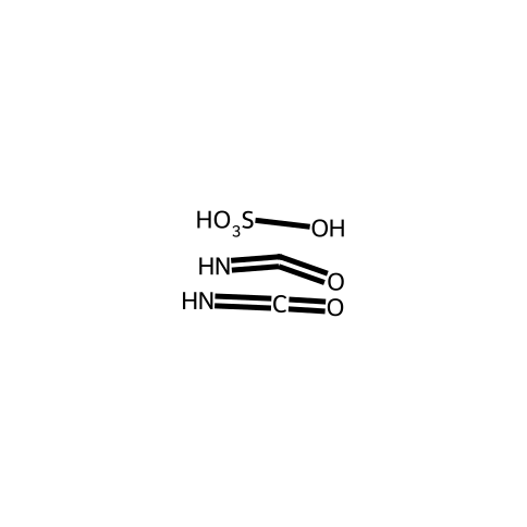 N=C=O.N=C=O.O=S(=O)(O)O